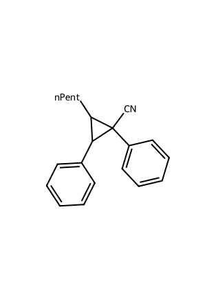 CCCCCC1C(c2ccccc2)C1(C#N)c1ccccc1